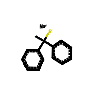 CC([S-])(c1ccccc1)c1ccccc1.[Na+]